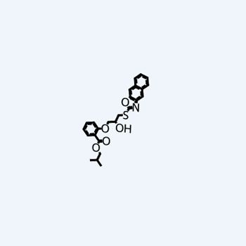 CC(C)COC(=O)c1ccccc1OCC(O)CSc1nc2cc3ccccc3cc2o1